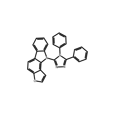 c1ccc(-c2nnc(-n3c4ccccc4c4ccc5occc5c43)n2-c2ccccc2)cc1